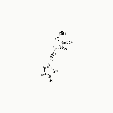 CC(C)(C)OC(=O)NCC#Cc1ccc(Br)s1